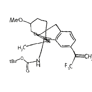 C=C(c1ccc2c(c1)C1(N=C(NC(=O)OC(C)(C)C)N(C)C1=O)C1(CCC(OC)CC1)C2)C(F)(F)F